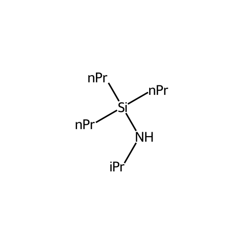 CCC[Si](CCC)(CCC)NC(C)C